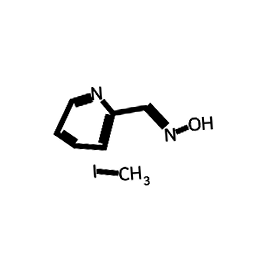 CI.ON=Cc1ccccn1